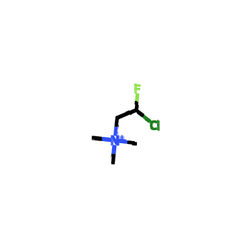 C[N+](C)(C)CC(F)Cl